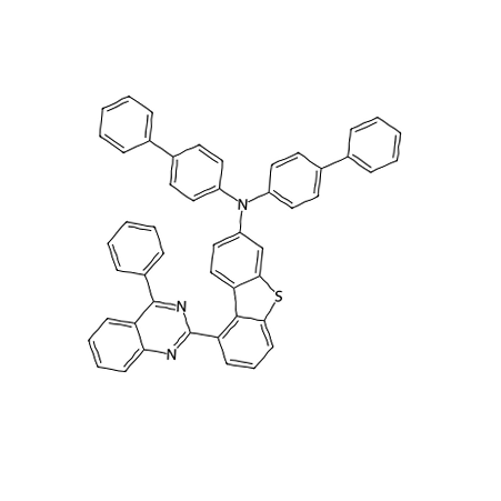 c1ccc(-c2ccc(N(c3ccc(-c4ccccc4)cc3)c3ccc4c(c3)sc3cccc(-c5nc(-c6ccccc6)c6ccccc6n5)c34)cc2)cc1